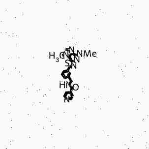 CNc1nc2nc(-c3cccc(CNC(=O)c4ccncc4)c3)sc2c2c1ncn2C